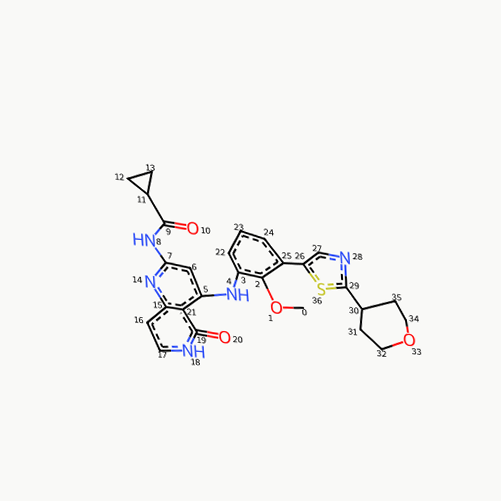 COc1c(Nc2cc(NC(=O)C3CC3)nc3cc[nH]c(=O)c23)cccc1-c1cnc(C2CCOCC2)s1